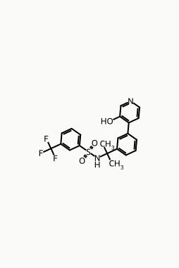 CC(C)(NS(=O)(=O)c1cccc(C(F)(F)F)c1)c1cccc(-c2ccncc2O)c1